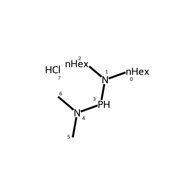 CCCCCCN(CCCCCC)PN(C)C.Cl